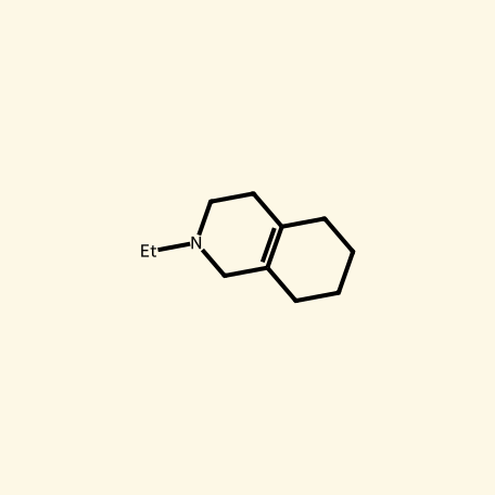 CCN1CCC2=C(CCCC2)C1